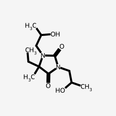 CCC1(C)C(=O)N(CC(C)O)C(=O)N1CC(C)O